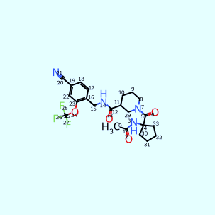 CC(=O)NC1(C(=O)N2CCCC(C(=O)NCc3ccc(C#N)cc3OC(F)(F)F)C2)CCCC1